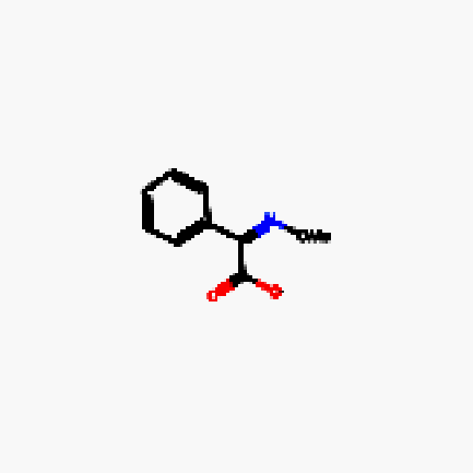 CON=C(C([O])=O)c1ccccc1